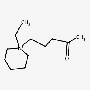 CC[N+]1(CCCC(C)=O)CCCCC1